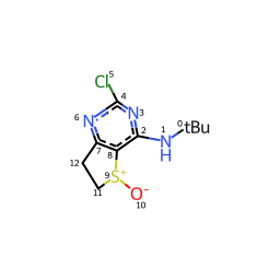 CC(C)(C)Nc1nc(Cl)nc2c1[S+]([O-])CC2